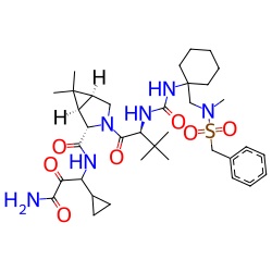 CN(CC1(NC(=O)N[C@H](C(=O)N2C[C@H]3[C@@H]([C@H]2C(=O)NC(C(=O)C(N)=O)C2CC2)C3(C)C)C(C)(C)C)CCCCC1)S(=O)(=O)Cc1ccccc1